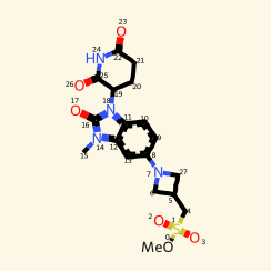 COS(=O)(=O)CC1CN(c2ccc3c(c2)n(C)c(=O)n3C2CCC(=O)NC2=O)C1